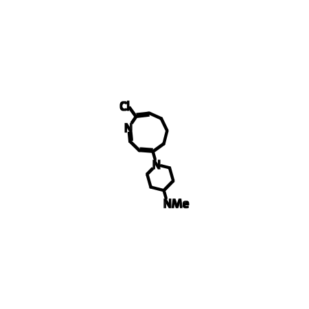 CNC1CCN(/C2=C/C=N\C(Cl)=C/CCC2)CC1